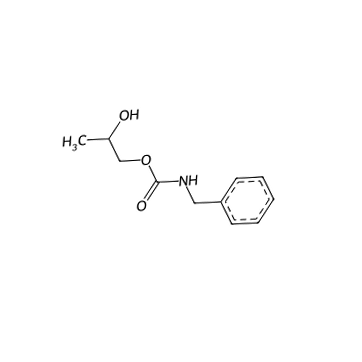 CC(O)COC(=O)NCc1ccccc1